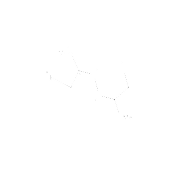 COC(CCl)SSC(CCl)OC